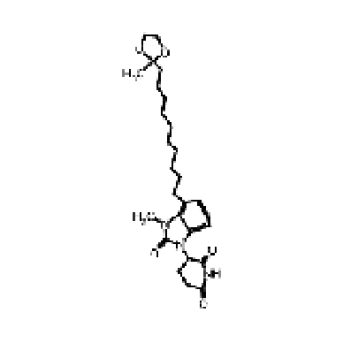 Cn1c(=O)n(C2CCC(=O)NC2=O)c2cccc(CCCCCCCCCCC3(C)OCCO3)c21